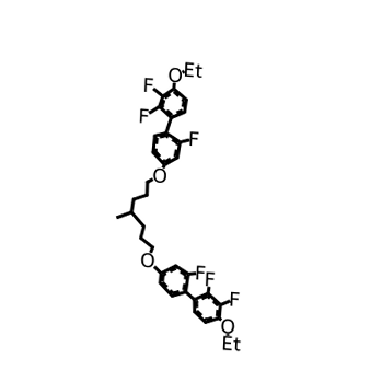 CCOc1ccc(-c2ccc(OCCCC(C)CCCOc3ccc(-c4ccc(OCC)c(F)c4F)c(F)c3)cc2F)c(F)c1F